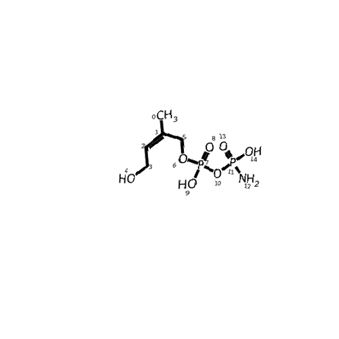 CC(=CCO)COP(=O)(O)OP(N)(=O)O